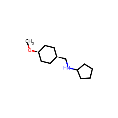 CO[C@H]1CC[C@@H](CNC2CCCC2)CC1